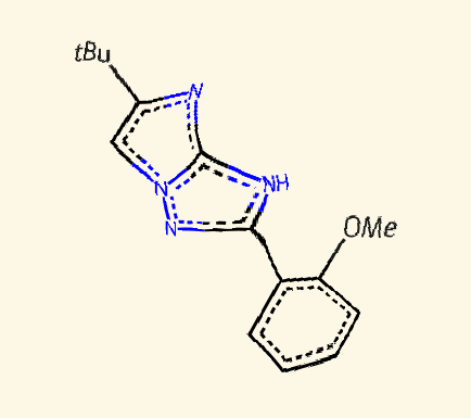 COc1ccccc1-c1nn2cc(C(C)(C)C)nc2[nH]1